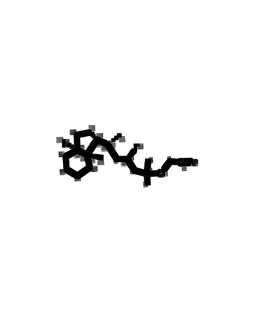 COCOC(C)(C)C[C@H](F)C[C@@H](C)[C@H]1CC[C@@H]2CCCC[C@]21C